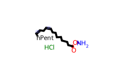 CCCCC/C=C\C/C=C\CCCCCCCC(=O)ON.Cl